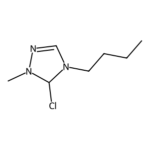 CCCCN1C=NN(C)C1Cl